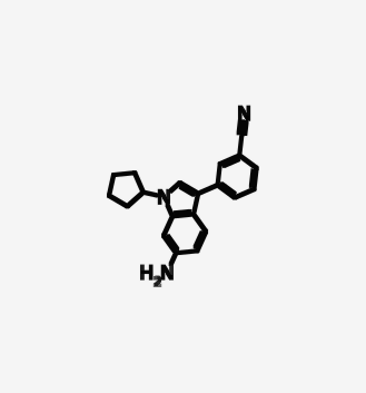 N#Cc1cccc(-c2cn(C3CCCC3)c3cc(N)ccc23)c1